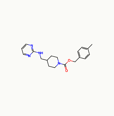 Cc1ccc(COC(=O)N2CCC(CNc3ncccn3)CC2)cc1